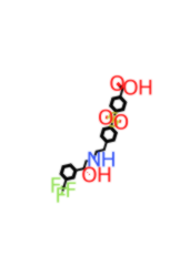 O=C(O)c1ccc(S(=O)(=O)c2ccc(CCNC[C@H](O)c3cccc(C(F)(F)F)c3)cc2)cc1